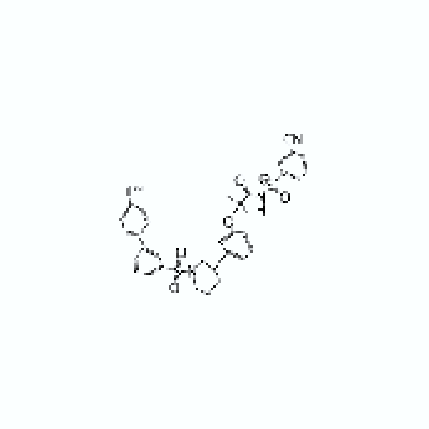 CC(C)c1ccc(-c2cccc(S(=O)(=O)N3CCCC(c4cccc(OC(C)(C)C(=O)NS(=O)(=O)c5cccc(C#N)c5)c4)C3)c2)cc1